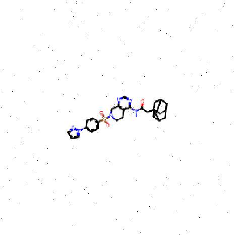 O=C(CC12CC3CC(CC(C3)C1)C2)Nc1ncnc2c1CCN(S(=O)(=O)c1ccc(-n3cccn3)cc1)C2